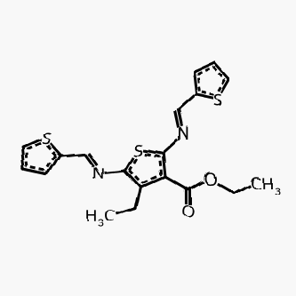 CCOC(=O)c1c(/N=C/c2cccs2)sc(/N=C/c2cccs2)c1CC